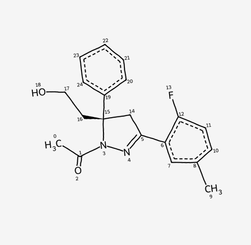 CC(=O)N1N=C(c2cc(C)ccc2F)C[C@@]1(CCO)c1ccccc1